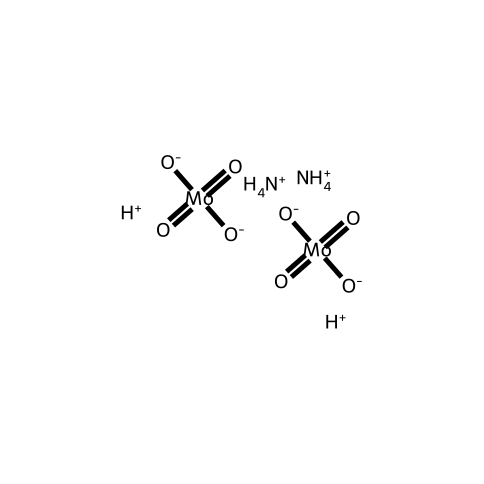 [H+].[H+].[NH4+].[NH4+].[O]=[Mo](=[O])([O-])[O-].[O]=[Mo](=[O])([O-])[O-]